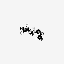 O=C(c1cc(F)cc(F)c1)N1CCC[C@H](CNc2nc(C3=CNC4NC=C(Cl)C=C34)ncc2F)C1